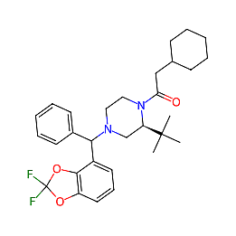 CC(C)(C)[C@H]1CN(C(c2ccccc2)c2cccc3c2OC(F)(F)O3)CCN1C(=O)CC1CCCCC1